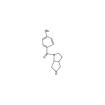 CC(C)(C)c1ccc(C(=O)N2CCC3CNCC32)cc1